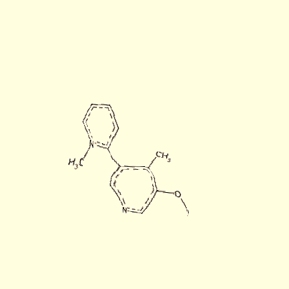 Cc1c(OI)cncc1-c1cccc[n+]1C